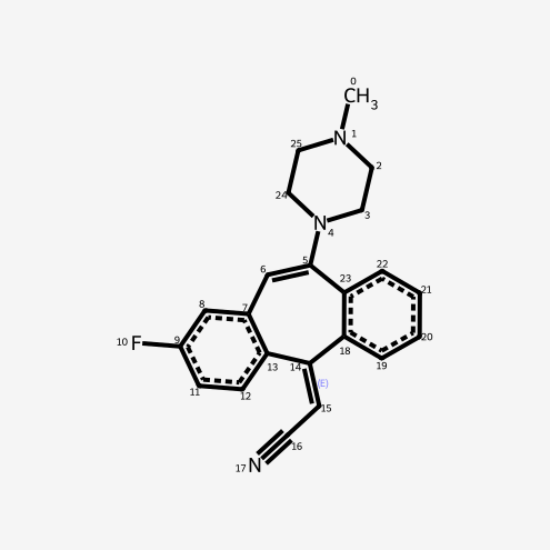 CN1CCN(C2=Cc3cc(F)ccc3/C(=C\C#N)c3ccccc32)CC1